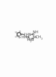 CN(C)C(=N)NC(=N)NCc1cccs1